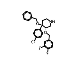 Fc1ccc(CO[C@H]2CNCC[C@@]2(OCc2ccccc2)c2ccc(Cl)cc2)cc1F